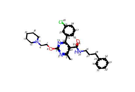 Cc1nc(OCCN2CCCCC2)nc(-c2cccc(Cl)c2)c1C(=O)NCCCc1ccccc1